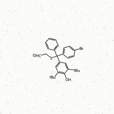 CC(C)(C)c1cc(C(SC[13CH]=O)(c2ccccc2)c2ccc(Br)cc2)cc(C(C)(C)C)c1O